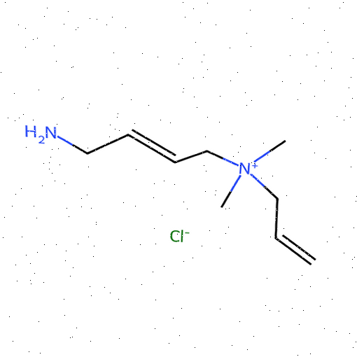 C=CC[N+](C)(C)CC=CCN.[Cl-]